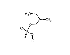 CC(CN)COP(=O)(Cl)OCl